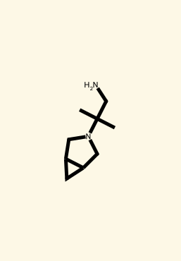 CC(C)(CN)N1CC2CC2C1